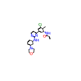 C=CC(=O)N[C@H]1C=C(c2ccnc(NC3C=CC=C(N4CCOCC4)C3)n2)C=C(Cl)C1C